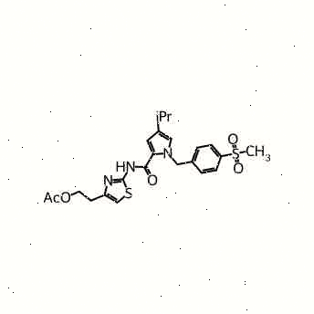 CC(=O)OCCc1csc(NC(=O)c2cc(C(C)C)cn2Cc2ccc(S(C)(=O)=O)cc2)n1